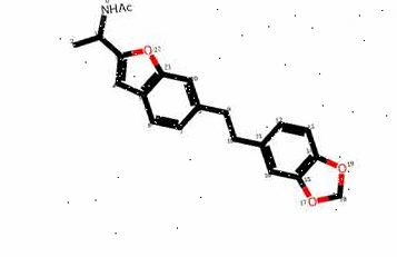 CC(=O)NC(C)c1cc2ccc(CCc3ccc4c(c3)OCO4)cc2o1